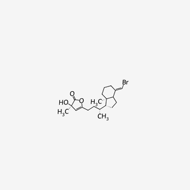 C[C@H](CCC1=C[C@@](C)(O)C(=O)O1)[C@H]1CCC2C(=CBr)CCC[C@@]21C